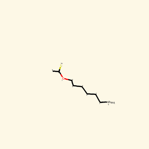 CCCCCCCCCCCOC(C)[S]